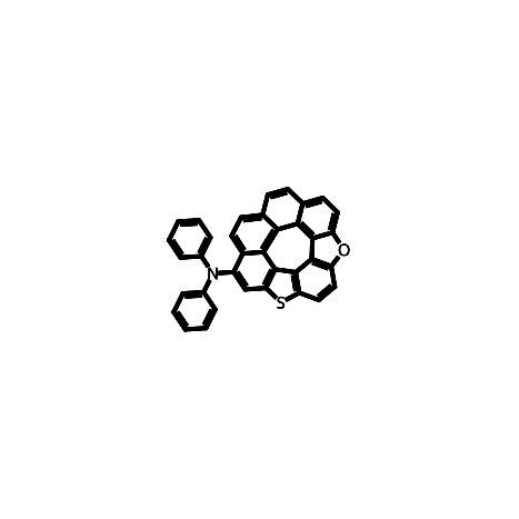 c1ccc(N(c2ccccc2)c2cc3sc4ccc5oc6ccc7ccc8ccc2c2c8c7c6c5c4c32)cc1